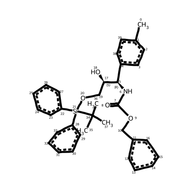 Cc1ccc([C@@H](NC(=O)OCc2ccccc2)[C@H](O)CO[Si](c2ccccc2)(c2ccccc2)C(C)(C)C)cc1